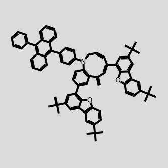 C=C1/C=C(c2cc(C(C)(C)C)cc3c2oc2ccc(C(C)(C)C)cc23)\C=C/CN(c2ccc(-c3c4ccccc4c(-c4ccccc4)c4ccccc34)cc2)c2ccc(-c3cc(C(C)(C)C)cc4c3oc3ccc(C(C)(C)C)cc34)cc21